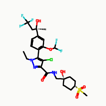 CCn1nc(C(=O)NC[C@]2(O)CC[C@@H](S(C)(=O)=O)CC2)c(Cl)c1-c1ccc([C@](C)(O)CC(F)(F)F)cc1OC(F)F